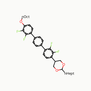 CCCCCCCCOc1ccc(-c2ccc(-c3ccc(C4COC(CCCCCCC)OC4)c(F)c3F)cc2)c(F)c1F